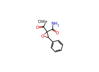 COC(=O)C1(C(N)=O)OC1c1ccccc1